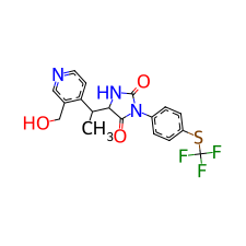 CC(c1ccncc1CO)C1NC(=O)N(c2ccc(SC(F)(F)F)cc2)C1=O